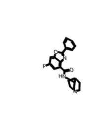 O=C(NC1CN2CCC1CC2)c1cc(F)cc2oc(-c3ccccc3)nc12